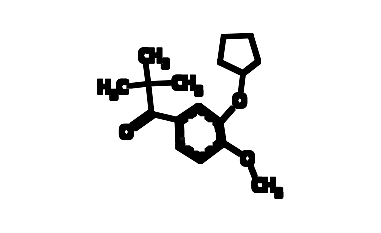 COc1ccc(C(=O)C(C)(C)C)cc1OC1CCCC1